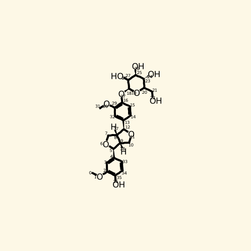 COc1cc([C@H]2OC[C@H]3[C@@H]2CO[C@@H]3c2ccc(O[C@@H]3OC(CO)[C@@H](O)[C@H](O)C3O)c(OC)c2)ccc1O